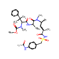 C/C(=C\C(C(C)C)N(C)C(=O)C(NC(=O)C(N(C)C(=O)OC(C)(C)C)C(C)(C)c1ccccc1)C(C)(C)C)C(=O)NS(=O)(=O)Cc1ccc(NC(=O)C(F)(F)F)cc1